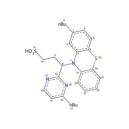 CCCCc1ccc2c(c1)N(C(CCS(=O)(=O)O)c1nccc(CCCC)n1)c1ccccc1S2